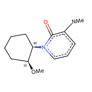 CNc1cccn([C@@H]2CCCC[C@@H]2OC)c1=O